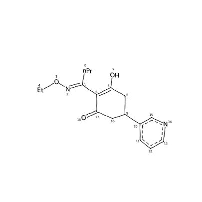 CCCC(=NOCC)C1=C(O)CC(c2cccnc2)CC1=O